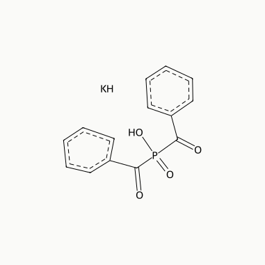 O=C(c1ccccc1)P(=O)(O)C(=O)c1ccccc1.[KH]